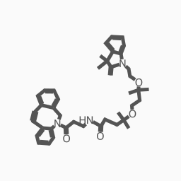 C=C1N(CCOC(C)(C)CCOC(C)(C)CCC(=O)NCCC(=O)N2Cc3ccccc3C#Cc3ccccc32)c2ccccc2C1(C)C